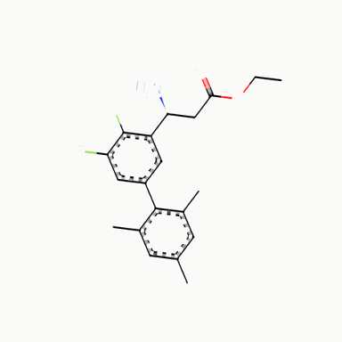 CCOC(=O)C[C@H](N)c1cc(-c2c(C)cc(C)cc2C)cc(F)c1F